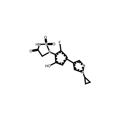 O=C1CN(c2c(O)cc(-c3cnn(C4CC4)c3)cc2F)S(=O)(=O)N1